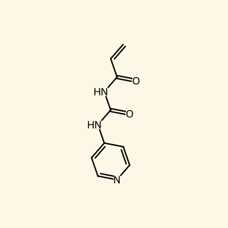 C=CC(=O)NC(=O)Nc1ccncc1